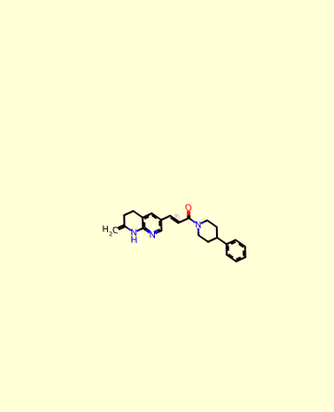 C=C1CCc2cc(/C=C/C(=O)N3CCC(c4ccccc4)CC3)cnc2N1